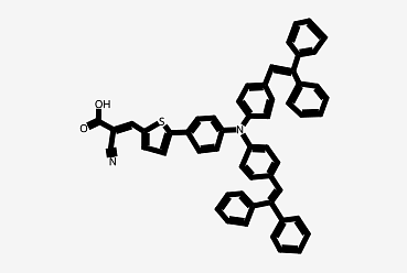 N#C/C(=C\c1ccc(-c2ccc(N(c3ccc(C=C(c4ccccc4)c4ccccc4)cc3)c3ccc(C=C(c4ccccc4)c4ccccc4)cc3)cc2)s1)C(=O)O